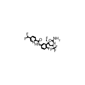 NC1=N[C@H](C(F)(F)F)C[C@@](CF)(c2cc(NC(=O)c3ccc(C(F)F)cn3)ccc2F)O1